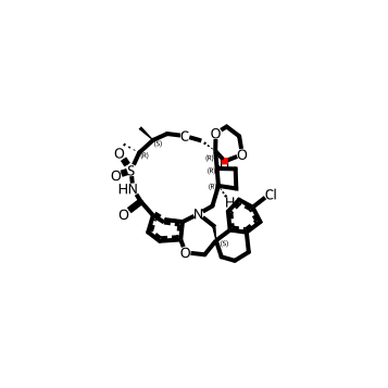 C[C@@H]1[C@@H](C)CCC[C@]2(COCCO2)[C@@H]2CC[C@H]2CN2C[C@@]3(CCCc4cc(Cl)ccc43)COc3ccc(cc32)C(=O)NS1(=O)=O